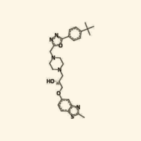 Cc1nc2cc(OC[C@H](O)CN3CCN(Cc4nnc(-c5ccc(C(C)(C)C)cc5)o4)CC3)ccc2s1